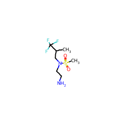 CC(CN(CCN)S(C)(=O)=O)C(F)(F)F